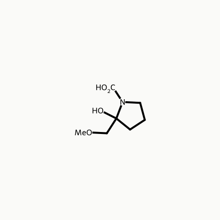 COCC1(O)CCCN1C(=O)O